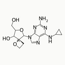 Nc1nc(NC2CC2)c2ncn(C3OC(CO)C(O)[C@]34CCO4)c2n1